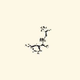 CC(NCC(=O)OC(C)(C)C)c1cccc(C#N)c1